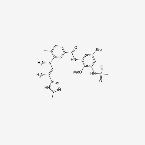 COc1c(NC(=O)c2ccc(C)c(N(N)/C=C(\N)c3cnc(C)[nH]3)c2)cc(C(C)(C)C)cc1NS(C)(=O)=O